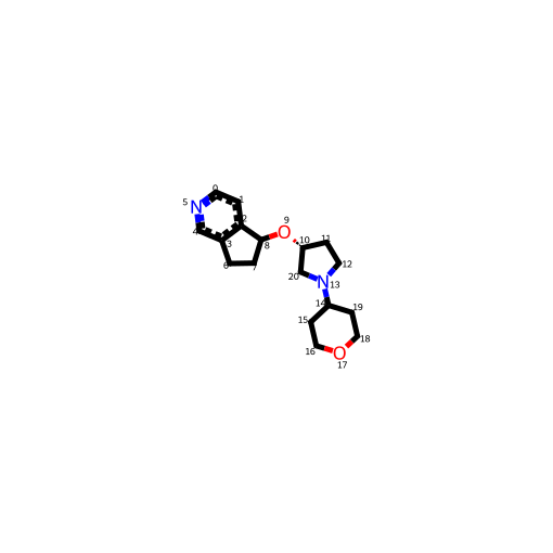 c1cc2c(cn1)CCC2O[C@@H]1CCN(C2CCOCC2)C1